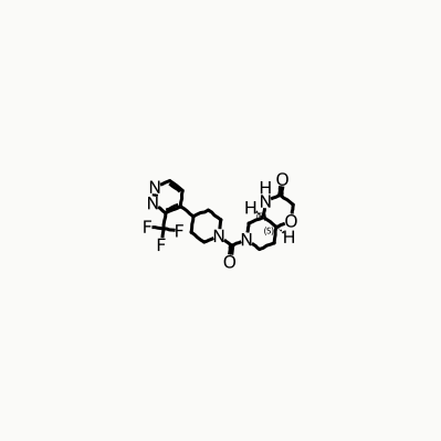 O=C1CO[C@H]2CCN(C(=O)N3CCC(c4ccnnc4C(F)(F)F)CC3)C[C@H]2N1